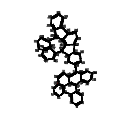 c1ccc(-c2ccccc2-c2c3ccccc3c(-c3ccc4c5ccc6c7ccccc7n(-c7ccccc7)c6c5n(-c5ccccc5)c4c3)c3ccccc23)cc1